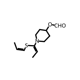 C/C=C\S/C(=C\C)N1CCC(OC=O)CC1